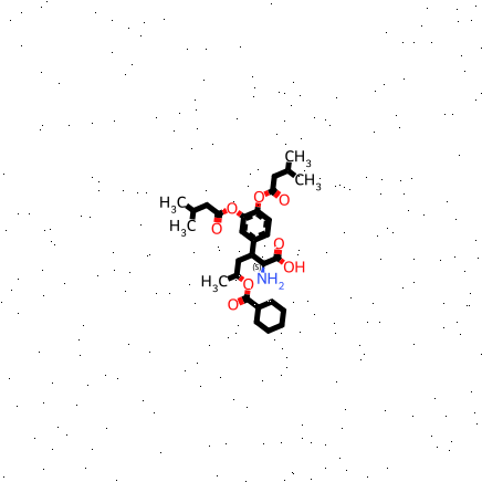 CC(C)CC(=O)Oc1ccc(C(CC(C)OC(=O)C2CCCCC2)[C@H](N)C(=O)O)cc1OC(=O)CC(C)C